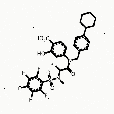 CC(C)C(C(=O)N(Cc1ccc(C2CCCCC2)cc1)c1ccc(C(=O)O)c(O)c1)N(C)S(=O)(=O)c1c(F)c(F)c(F)c(F)c1F